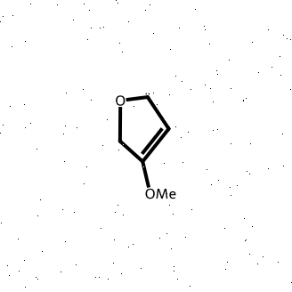 COC1=C[C]OC1